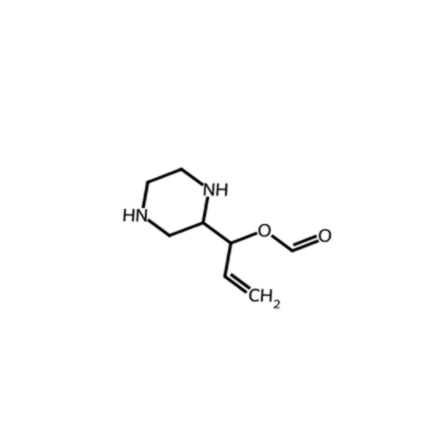 C=CC(OC=O)C1CNCCN1